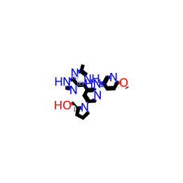 C=C(C)/N=C1/NC=N/C1=C(/N)c1cc(N2CCC[C@H]2CO)cnc1Nc1ccc(OC)nc1